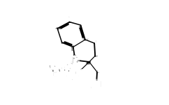 CCOC(=O)C1(CC=O)CCc2ccccc2N1OC